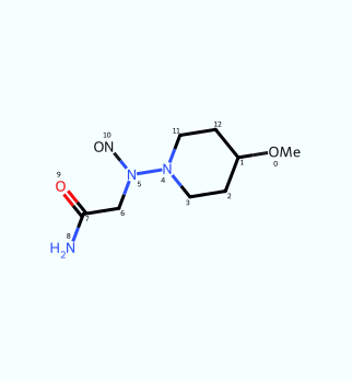 COC1CCN(N(CC(N)=O)N=O)CC1